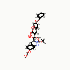 COCCOc1ccc(C[C@H](NC(=O)OC(C)(C)C)[C@@H](O)C[C@@H](Cc2ccc(OCc3ccccc3)cc2)C(=O)O)cc1